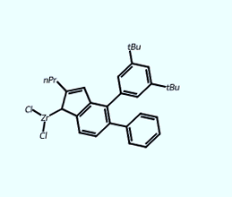 CCCC1=Cc2c(ccc(-c3ccccc3)c2-c2cc(C(C)(C)C)cc(C(C)(C)C)c2)[CH]1[Zr]([Cl])[Cl]